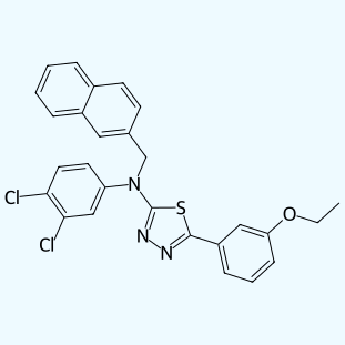 CCOc1cccc(-c2nnc(N(Cc3ccc4ccccc4c3)c3ccc(Cl)c(Cl)c3)s2)c1